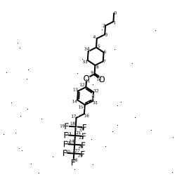 CCCCCC1CCC(C(=O)Oc2ccc(CCC(F)(F)C(F)(F)C(F)(F)C(F)(F)F)cc2)CC1